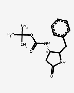 CC(C)(C)OC(=O)N[C@H]1CC(=O)NC1Cc1ccccc1